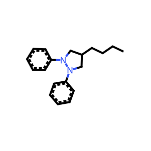 CCCCC1CN(c2ccccc2)N(c2ccccc2)C1